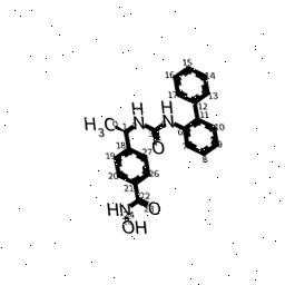 C[C@@H](NC(=O)Nc1ccccc1-c1ccccc1)c1ccc(C(=O)NO)cc1